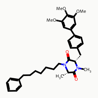 COc1cc(-c2ccc(C[C@H]3C(=O)N(CCCCCCCc4ccccc4)[C@@H](C)C(=O)N3C)cc2)cc(OC)c1OC